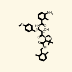 COc1ccc(C[C@H](NC(=O)c2cccc(N)c2C)[C@H](O)C(=O)N2CSC(C)(C)C2C(=O)NCc2c(C)cccc2C)cc1